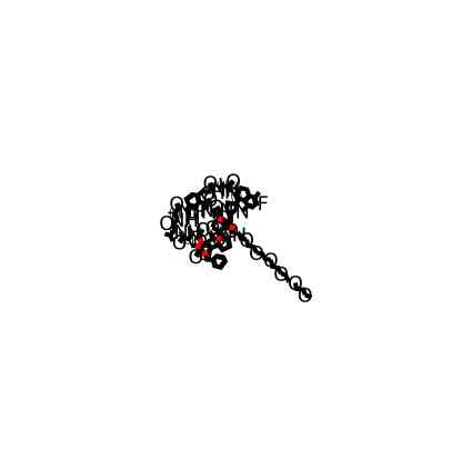 CC[C@@]1(O)C(=O)OCc2c1cc1n(c2=O)Cc2c-1nc1cc(F)c(C)c3c1c2[C@@H](NC(=O)[C@H](C)NC(=O)OCc1ccc(NC(=O)[C@H](C)NC(=O)[C@@H](NC(=O)[C@H](CCC(=O)OCc2ccccc2)NC(=O)OCC2c4ccccc4-c4ccccc42)C(C)C)cc1C(=O)NCCOCCOCCOCCOCCOCCOCCOCCOC)CC3